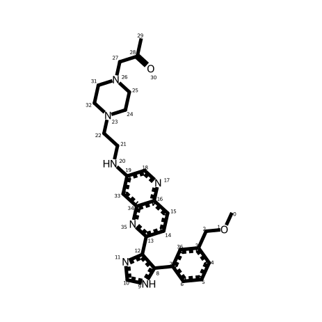 COCc1cccc(-c2[nH]cnc2-c2ccc3ncc(NCCN4CCN(CC(C)=O)CC4)cc3n2)c1